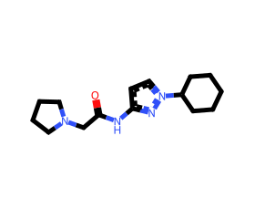 O=C(CN1CCCC1)Nc1ccn(C2CCCCC2)n1